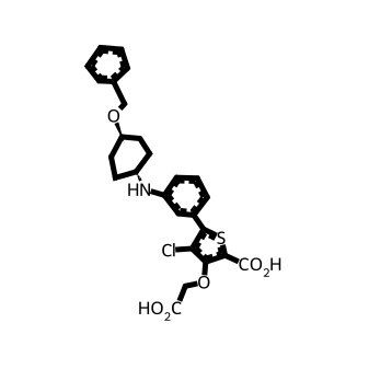 O=C(O)COc1c(C(=O)O)sc(-c2cccc(N[C@H]3CC[C@H](OCc4ccccc4)CC3)c2)c1Cl